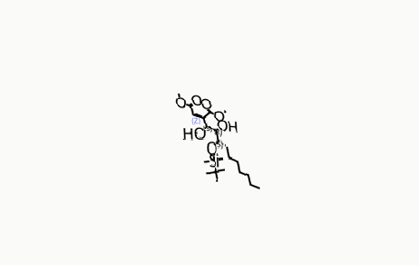 CCCCCCC[C@H](O[Si](C)(C)C(C)(C)C)[C@H](O)[C@@H](O)/C(=C/C(=O)OC)C(=O)OC